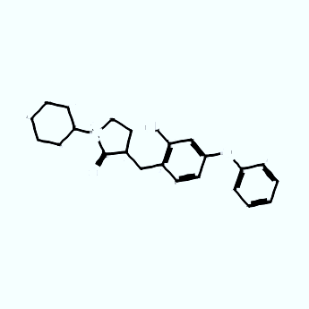 O=C1C(Cc2ccc(Oc3ccccc3)cc2Cl)CCN1C1CCCCC1